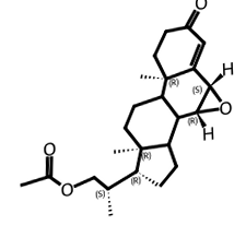 CC(=O)OC[C@@H](C)[C@H]1CCC2C3C(CC[C@@]21C)[C@@]1(C)CCC(=O)C=C1[C@@H]1O[C@H]31